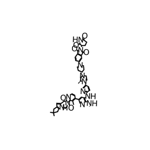 CNc1ncc(-c2ccnc(N3CCn4c(cc5c4CC(C)(C)C5)C3=O)c2CO)cc1Nc1ccc(N2CCN(C3CCN(c4ccc5c(c4)C(=O)N(C4CCC(=O)NC4=O)C5=O)CC3)C[C@@H]2C)cn1